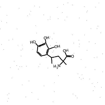 CC(CC(C)(N)C(=O)O)c1ccc(O)c(O)c1O